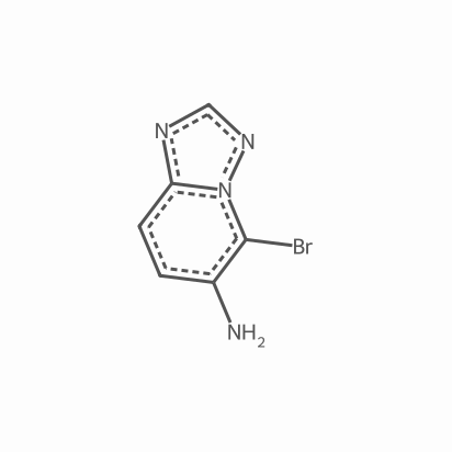 Nc1ccc2ncnn2c1Br